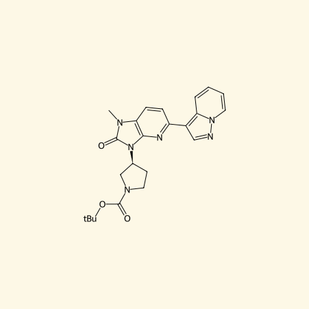 Cn1c(=O)n([C@H]2CCN(C(=O)OC(C)(C)C)C2)c2nc(-c3cnn4ccccc34)ccc21